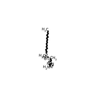 CCCCCCCCCCCCCCCCSSC(C)[PH](=O)COC(C)Cn1cnc2c(N)ncnc21